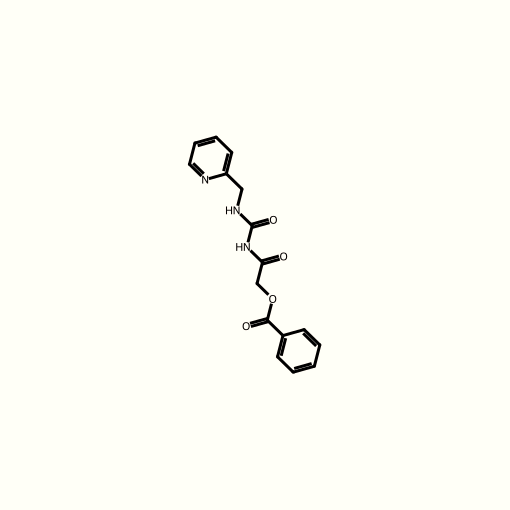 O=C(COC(=O)c1ccccc1)NC(=O)NCc1ccccn1